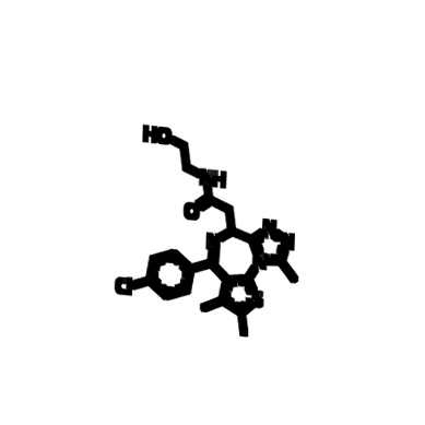 Cc1sc2c(c1C)C(c1ccc(Cl)cc1)=NC(CC(=O)NCCO)c1nnc(C)n1-2